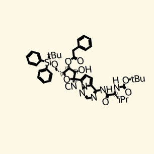 CC(C)[C@H](NC(=O)OC(C)(C)C)C(=O)Nc1ncnn2c([C@]3(C#N)O[C@H](CO[Si](c4ccccc4)(c4ccccc4)C(C)(C)C)[C@@H](OC(=O)Cc4ccccc4)[C@H]3O)ccc12